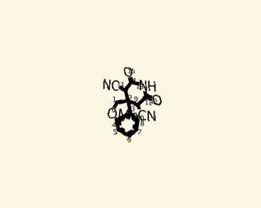 COCC1(c2ccccc2)C(C#N)C(=O)NC(=O)C1C#N